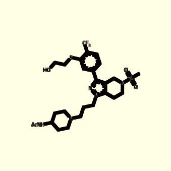 CC(=O)NC1CCN(CCCn2nc(-c3ccc(C(F)(F)F)c(SCCO)c3)c3c2CCN(S(C)(=O)=O)C3)CC1